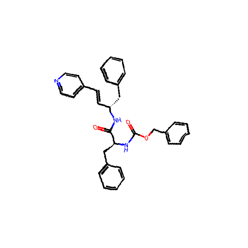 O=C(N[C@@H](Cc1ccccc1)C(=O)N[C@H](/C=C/c1ccncc1)Cc1ccccc1)OCc1ccccc1